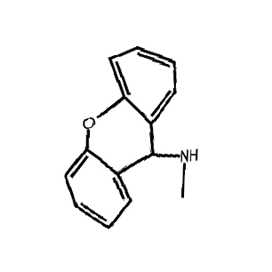 CNC1c2ccccc2Oc2ccccc21